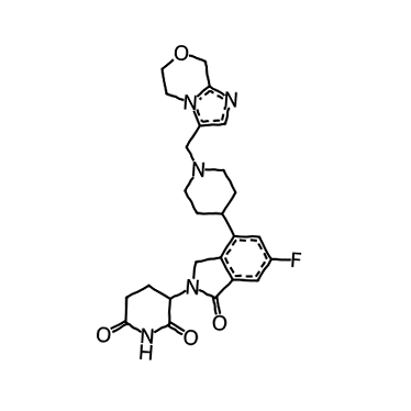 O=C1CCC(N2Cc3c(cc(F)cc3C3CCN(Cc4cnc5n4CCOC5)CC3)C2=O)C(=O)N1